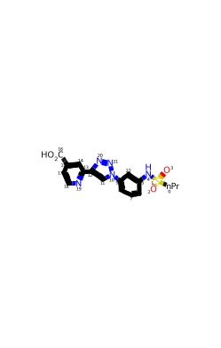 CCCS(=O)(=O)Nc1cccc(-n2cc(-c3cc(C(=O)O)ccn3)nn2)c1